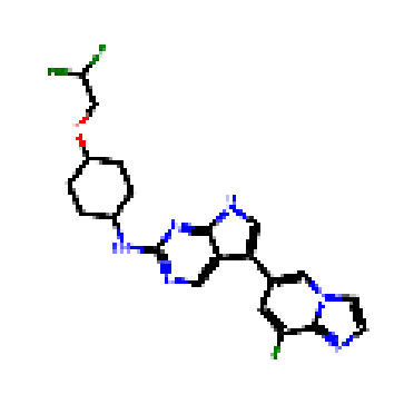 Fc1cc(-c2c[nH]c3nc(NC4CCC(OCC(F)F)CC4)ncc23)cn2ccnc12